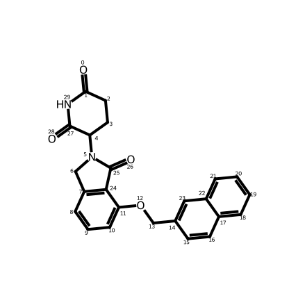 O=C1CCC(N2Cc3cccc(OCc4ccc5ccccc5c4)c3C2=O)C(=O)N1